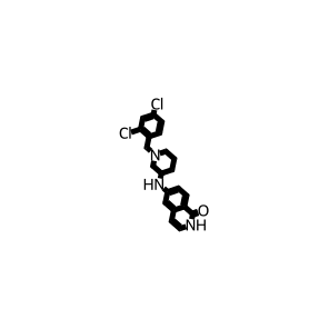 O=c1[nH]ccc2cc(NC3CCCN(Cc4ccc(Cl)cc4Cl)C3)ccc12